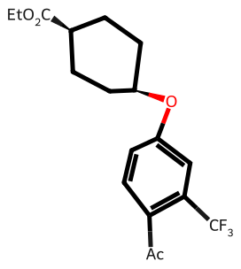 CCOC(=O)[C@H]1CC[C@@H](Oc2ccc(C(C)=O)c(C(F)(F)F)c2)CC1